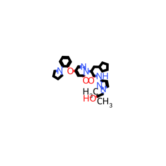 CC(C)(O)Cn1ccc(NC(=O)C(CC2CCCC2)n2ncc(Oc3ccccc3N3CCCC3)cc2=O)n1